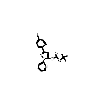 CC(C)(C)OC(=O)Oc1cc(-c2ccc(I)cc2)nn1-c1ccccn1